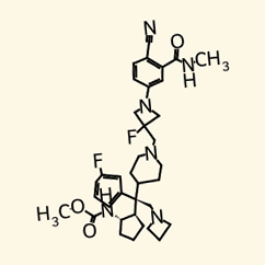 CNC(=O)c1cc(N2CC(F)(CN3CCC([C@@](CN4CCC4)(c4cccc(F)c4)[C@H]4CCC[C@@H]4NC(=O)OC)CC3)C2)ccc1C#N